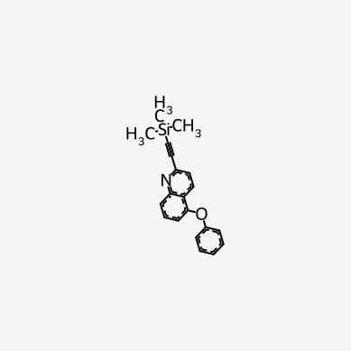 C[Si](C)(C)C#Cc1ccc2c(Oc3ccccc3)cccc2n1